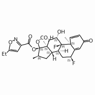 CCc1cc(C(=O)O[C@]2(OC(=O)O)[C@H](C)C[C@H]3[C@@H]4C[C@H](F)C5=CC(=O)C=C[C@]5(C)[C@@]4(F)[C@@H](O)C[C@@]32C)no1